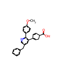 COc1ccc(-c2ncc(Cc3ccccc3)cc2C2=CCC(C(=O)O)C=C2)cc1